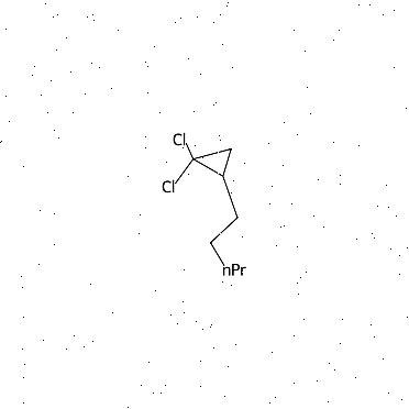 CCCCCC1CC1(Cl)Cl